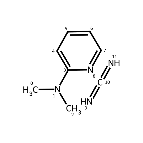 CN(C)c1ccccn1.N=C=N